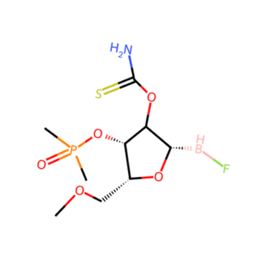 COC[C@H]1O[C@@H](BF)C(OC(N)=S)[C@H]1OP(C)(C)=O